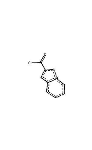 O=C(Cl)c1cc2ccccn2n1